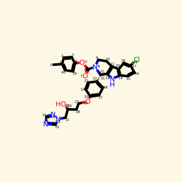 Cc1ccc(OC(=O)N2CCc3c([nH]c4ccc(Cl)cc34)[C@@H]2c2ccc(OCCC(O)Cn3cncn3)cc2)cc1